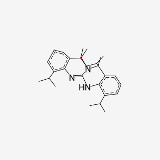 CCN(CC)/C(=N\c1c(C(C)C)cccc1C(C)C)Nc1c(C(C)C)cccc1C(C)C